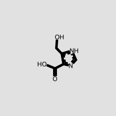 O=C(O)c1nc[nH]c1CO